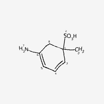 CC1(S(=O)(=O)O)C=CC=C(N)C1